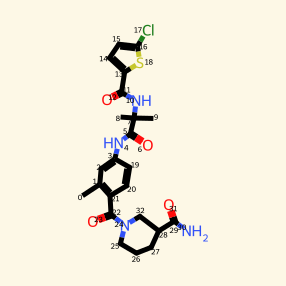 Cc1cc(NC(=O)C(C)(C)NC(=O)c2ccc(Cl)s2)ccc1C(=O)N1CCCC(C(N)=O)C1